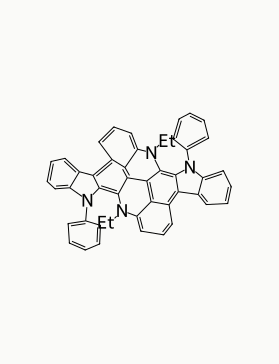 CCn1c2cccc3c2c2c(c4c3c3ccccc3n4-c3ccccc3)n(CC)c3cccc4c3c-2c1c1c4c2ccccc2n1-c1ccccc1